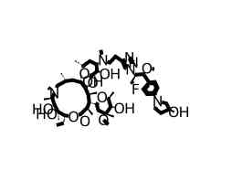 CC[C@H]1OC(=O)[C@H](C)[C@@H](C2C[C@@](C)(OC)[C@@H](O)[C@H](C)O2)[C@H](C)[C@@H](O[C@@H]2O[C@H](C)C[C@H](N(C)CCc3cn([C@H](CF)[C@H](OC)c4ccc(N5CC[C@H](O)C5)cc4)nn3)[C@H]2O)[C@](C)(O)C[C@@H](C)CN(C)[C@H](C)[C@@H](O)[C@]1(C)O